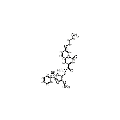 CC(C)(C)OC(=O)C(CNC(=O)c1cc(=O)n2cc(OCCCN)ccc2c1)NS(=O)(=O)c1ccccc1